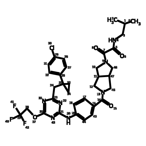 CC(C)CNC(=O)C(=O)N1CC2CN(C(=O)c3ccc(Nc4nc(CC5(c6ccc(Cl)cc6)CC5)nc(OCC(F)(F)F)n4)cc3)CC2C1